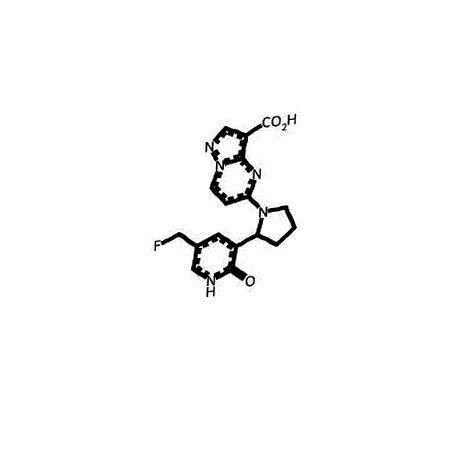 O=C(O)c1cnn2ccc(N3CCCC3c3cc(CF)c[nH]c3=O)nc12